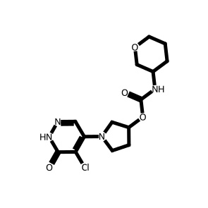 O=C(NC1CCCOC1)OC1CCN(c2cn[nH]c(=O)c2Cl)C1